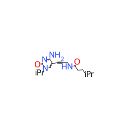 CC(C)CCC(=O)NCC#Cc1cn(C(C)C)c(=O)nc1N